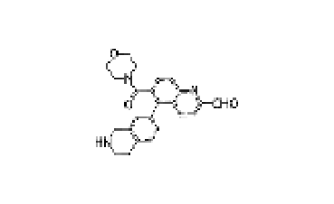 O=Cc1ccc2c(-c3ccc4c(c3)CNCC4)c(C(=O)N3CCOCC3)ccc2n1